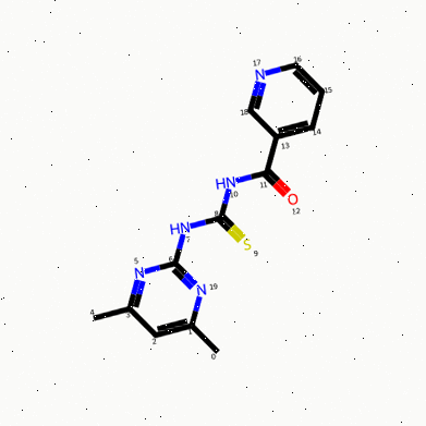 Cc1cc(C)nc(NC(=S)NC(=O)c2cccnc2)n1